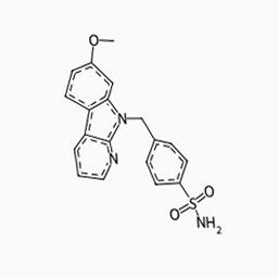 COc1ccc2c3cccnc3n(Cc3ccc(S(N)(=O)=O)cc3)c2c1